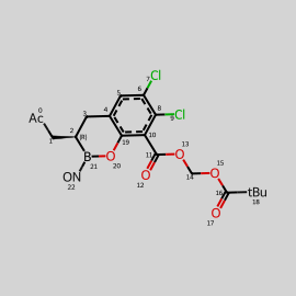 CC(=O)C[C@H]1Cc2cc(Cl)c(Cl)c(C(=O)OCOC(=O)C(C)(C)C)c2OB1N=O